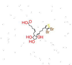 O=C(O)CCC/C=C\CC1C(O)[C@@H](O)C[C@]1(O)/C=C/CCCc1csc(Br)c1Br